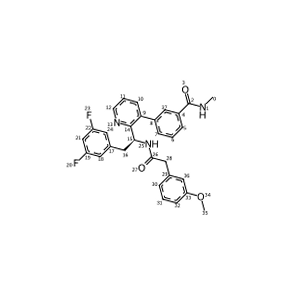 CNC(=O)c1cccc(-c2cccnc2[C@H](Cc2cc(F)cc(F)c2)NC(=O)Cc2cccc(OC)c2)c1